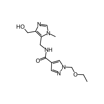 CCOCn1cc(C(=O)NCc2c(CO)ncn2C)cn1